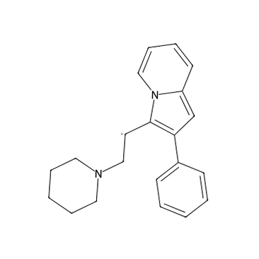 [CH](CN1CCCCC1)c1c(-c2ccccc2)cc2ccccn12